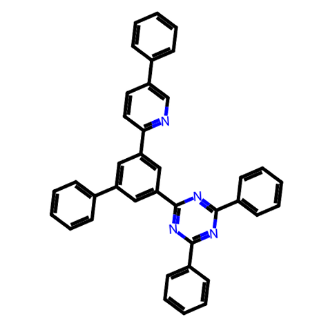 c1ccc(-c2ccc(-c3cc(-c4ccccc4)cc(-c4nc(-c5ccccc5)nc(-c5ccccc5)n4)c3)nc2)cc1